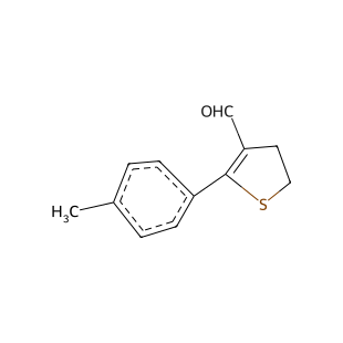 Cc1ccc(C2=C(C=O)CCS2)cc1